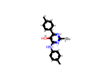 Cc1ccc(Nc2nc(C(C)(C)C)nc(-c3ccc(C)cc3)c2O)cc1